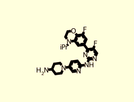 CC(C)N1CCOc2c(F)cc(-c3nc(Nc4ccc(N5CCC(N)CC5)cn4)ncc3F)cc21